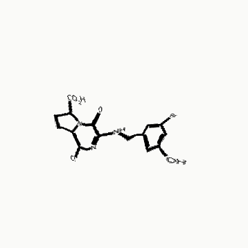 O=C(O)C1CCc2c(Cl)nc(NCc3cc(O)cc(Br)c3)c(=O)n21